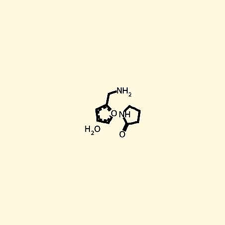 NCc1ccco1.O.O=C1CCCN1